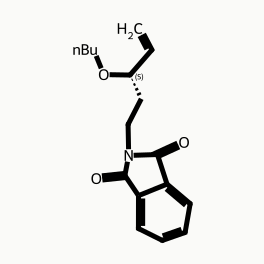 C=C[C@H](CCN1C(=O)c2ccccc2C1=O)OCCCC